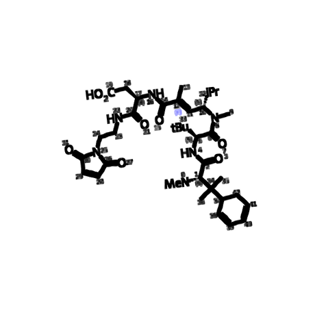 CN[C@H](C(=O)N[C@H](C(=O)N(C)[C@H](/C=C(\C)C(=O)N[C@H](CC(=O)O)C(=O)NCCN1C(=O)C=CC1=O)C(C)C)C(C)(C)C)C(C)(C)C1C=CC=CC1